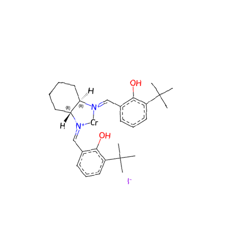 CC(C)(C)c1cccc(C=[N+]2[Cr][N+](=Cc3cccc(C(C)(C)C)c3O)[C@@H]3CCCC[C@H]32)c1O.[I-]